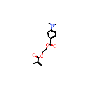 C=C(C)C(=O)OCCOC(=O)c1ccc(N(C)C)cc1